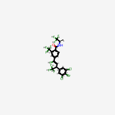 C[C@@H](NC(=O)c1ccc(/C(F)=C/C(c2cc(Cl)c(Br)c(Cl)c2)C(F)(F)F)cc1C(F)(F)F)C(F)(F)F